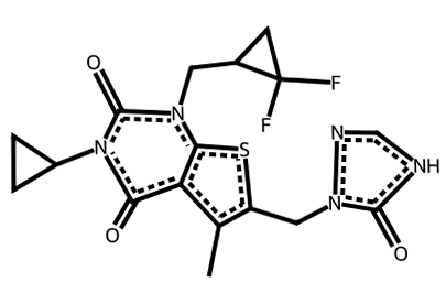 Cc1c(Cn2nc[nH]c2=O)sc2c1c(=O)n(C1CC1)c(=O)n2CC1CC1(F)F